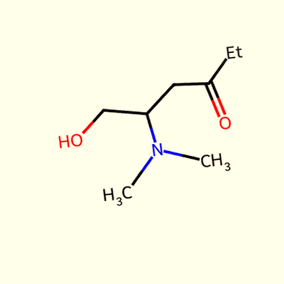 CCC(=O)CC(CO)N(C)C